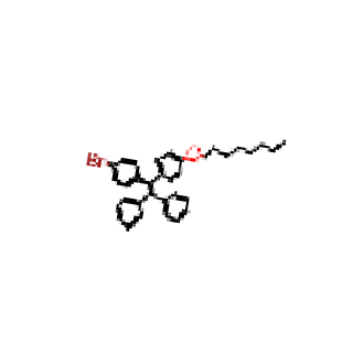 CCCCCCCCOc1ccc(C(=C(c2ccccc2)c2ccccc2)c2ccc(Br)cc2)cc1